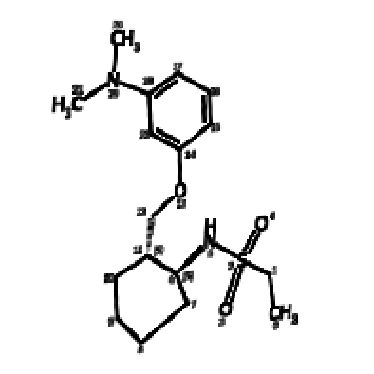 CCS(=O)(=O)N[C@H]1CCCC[C@@H]1COc1cccc(N(C)C)c1